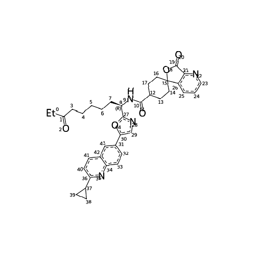 CCC(=O)CCCCC[C@@H](NC(=O)C1CCC2(CC1)OC(=O)c1ncccc12)c1ncc(-c2ccc3nc(C4CC4)ccc3c2)o1